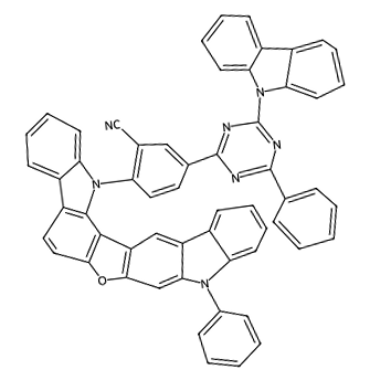 N#Cc1cc(-c2nc(-c3ccccc3)nc(-n3c4ccccc4c4ccccc43)n2)ccc1-n1c2ccccc2c2ccc3oc4cc5c(cc4c3c21)c1ccccc1n5-c1ccccc1